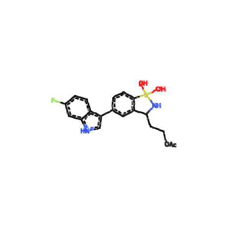 CC(=O)OCCC1NS(O)(O)c2ccc(-c3c[nH]c4cc(F)ccc34)cc21